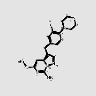 CCCCOc1cc2c(Cc3cnc(N4CCNCC4)c(Cl)c3)cnn2c(N)n1